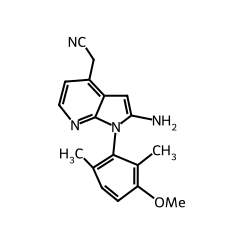 COc1ccc(C)c(-n2c(N)cc3c(CC#N)ccnc32)c1C